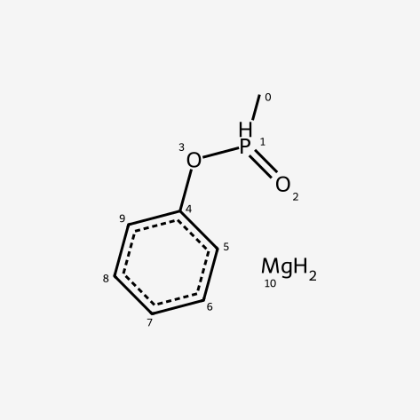 C[PH](=O)Oc1ccccc1.[MgH2]